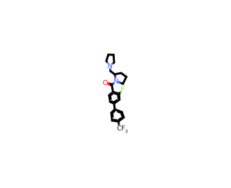 O=C(c1ccc(-c2ccc(C(F)(F)F)cc2)cc1F)N1CCCC1CN1CCCC1